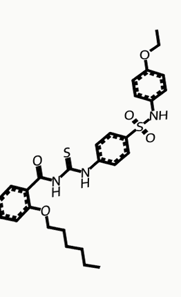 CCCCCCOc1ccccc1C(=O)NC(=S)Nc1ccc(S(=O)(=O)Nc2ccc(OCC)cc2)cc1